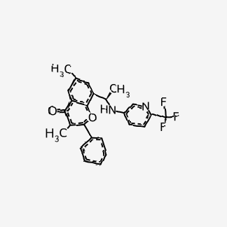 Cc1cc([C@@H](C)Nc2ccc(C(F)(F)F)nc2)c2oc(-c3ccccc3)c(C)c(=O)c2c1